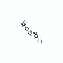 Cc1noc(-c2ccc(-c3ccnc(Nc4ccc(N5CCOCC5)cc4)n3)cc2)n1